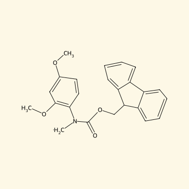 [CH2]N(C(=O)OCC1c2ccccc2-c2ccccc21)c1ccc(OC)cc1OC